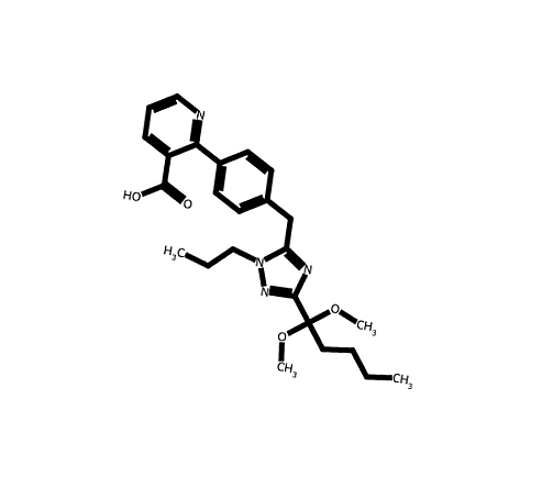 CCCCC(OC)(OC)c1nc(Cc2ccc(-c3ncccc3C(=O)O)cc2)n(CCC)n1